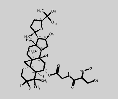 CC(C)(O)[C@@H]1CC[C@@](C)([C@H]2[C@@H](O)C[C@@]3(C)[C@@H]4C[C@H](OC(=O)CNC(=O)C(CS)NCl)[C@H]5C(C)(C)C(F)(F)CC[C@@]56C[C@@]46CC[C@]23C)O1